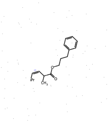 CC(C)/C=C\C(C)C(=O)OCCCc1ccccc1